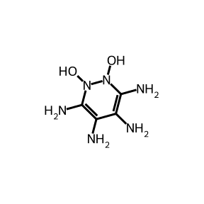 NC1=C(N)N(O)N(O)C(N)=C1N